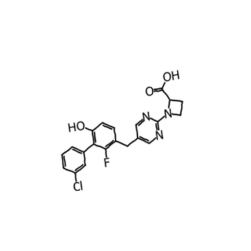 O=C(O)C1CCN1c1ncc(Cc2ccc(O)c(-c3cccc(Cl)c3)c2F)cn1